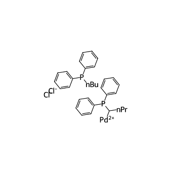 CCCCP(c1ccccc1)c1ccccc1.CCC[CH]([Pd+2])P(c1ccccc1)c1ccccc1.[Cl-].[Cl-]